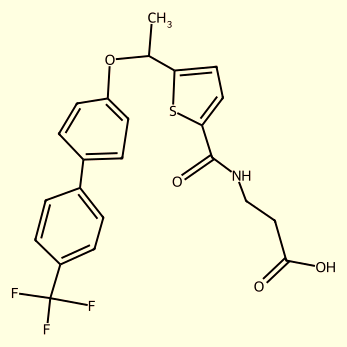 CC(Oc1ccc(-c2ccc(C(F)(F)F)cc2)cc1)c1ccc(C(=O)NCCC(=O)O)s1